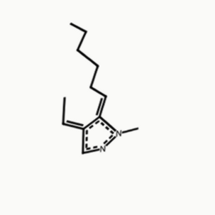 C/C=c1/cnn(C)/c1=C/CCCCC